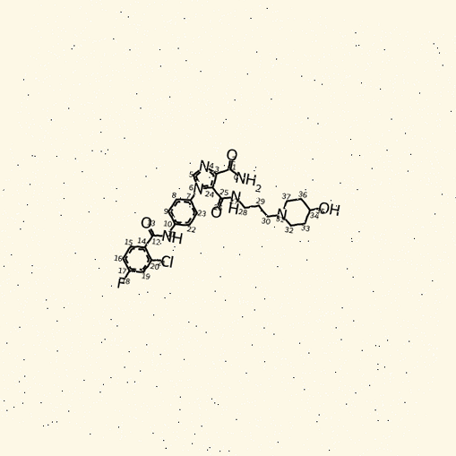 NC(=O)c1ncn(-c2ccc(NC(=O)c3ccc(F)cc3Cl)cc2)c1C(=O)NCCCN1CCC(O)CC1